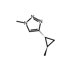 C[C@@H]1C[C@H]1c1cn(C)nn1